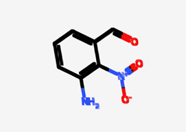 Nc1cccc(C=O)c1[N+](=O)[O-]